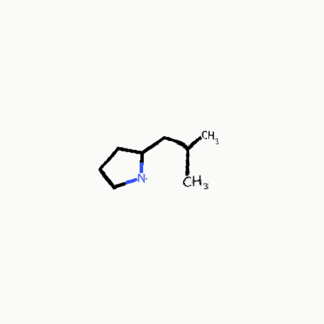 CC(C)CC1CCC[N]1